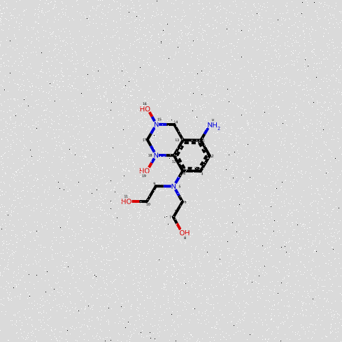 Nc1ccc(N(CCO)CCO)c2c1CN(O)CN2O